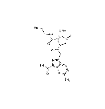 CO[C@H]1[C@@H](C(=O)NCCC(C)(C)C)N(C(=O)Cn2nc(C(N)=O)c3cc(C)ncc32)C[C@@H]1F